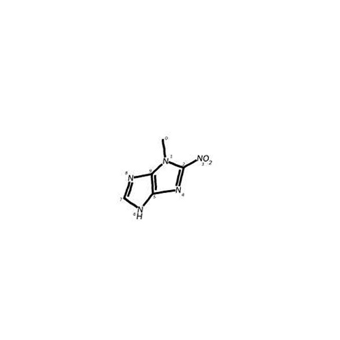 Cn1c([N+](=O)[O-])nc2[nH]cnc21